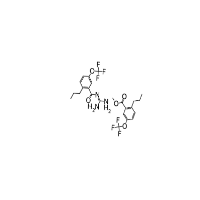 CCCc1ccc(OC(F)(F)F)cc1C(=O)N=C(N)N.CCCc1ccc(OC(F)(F)F)cc1C(=O)OC